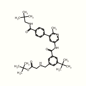 Cc1ncc(NC(=O)c2cc(CNCC(=O)OC(C)(C)C)cc(C(C)(C)C)c2)cc1-c1ccc(C(=O)NCC(C)(C)C)cc1